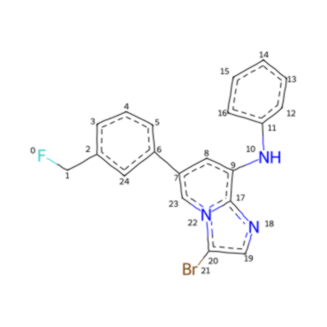 FCc1cccc(-c2cc(Nc3ccccc3)c3ncc(Br)n3c2)c1